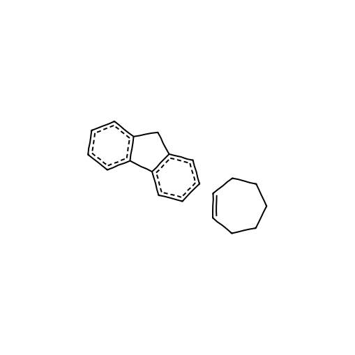 C1=CCCCCC1.c1ccc2c(c1)Cc1ccccc1-2